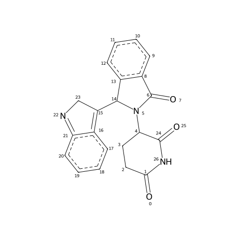 O=C1CCC(N2C(=O)c3ccccc3C2C2=c3ccccc3=NC2)C(=O)N1